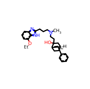 CCOc1cccc2nc(CCCN(C)CC[C@]3(O)C[C@H]4CCC3C=C4c3ccccc3)[nH]c12